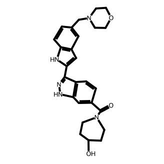 O=C(c1ccc2c(-c3cc4cc(CN5CCOCC5)ccc4[nH]3)n[nH]c2c1)N1CCC(O)CC1